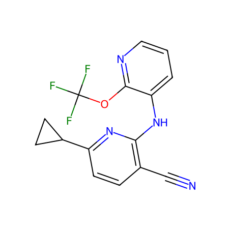 N#Cc1ccc(C2CC2)nc1Nc1cccnc1OC(F)(F)F